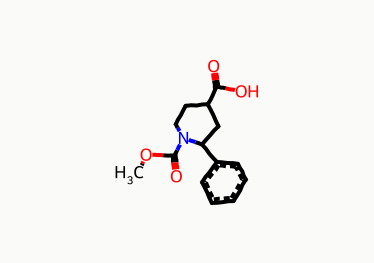 COC(=O)N1CCC(C(=O)O)CC1c1ccccc1